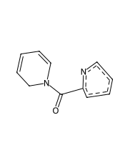 O=C(c1ccccn1)N1C=CC=CC1